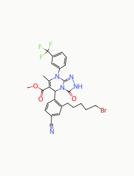 COC(=O)C1=C(C)N(c2cccc(C(F)(F)F)c2)c2n[nH]c(=O)n2C1c1ccc(C#N)cc1CCCCCBr